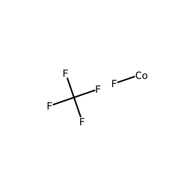 FC(F)(F)F.[F][Co]